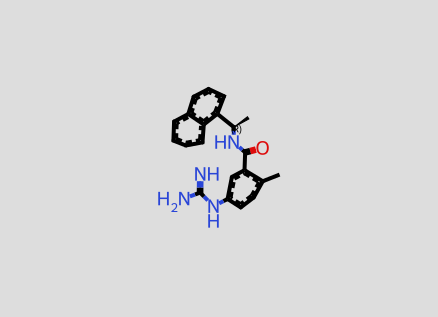 Cc1ccc(NC(=N)N)cc1C(=O)N[C@H](C)c1cccc2ccccc12